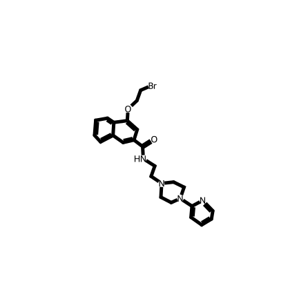 O=C(NCCN1CCN(c2ccccn2)CC1)c1cc(OCCBr)c2ccccc2c1